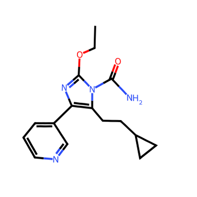 CCOc1nc(-c2cccnc2)c(CCC2CC2)n1C(N)=O